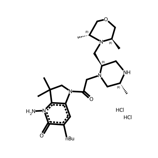 CCCCc1cc2c(n(N)c1=O)C(C)(C)CN2C(=O)CN1C[C@@H](C)NC[C@@H]1CN1[C@H](C)COC[C@H]1C.Cl.Cl